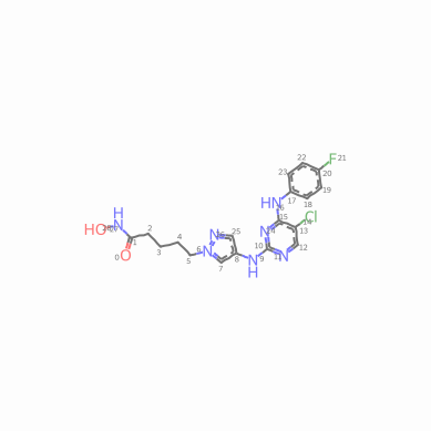 O=C(CCCCn1cc(Nc2ncc(Cl)c(Nc3ccc(F)cc3)n2)cn1)NO